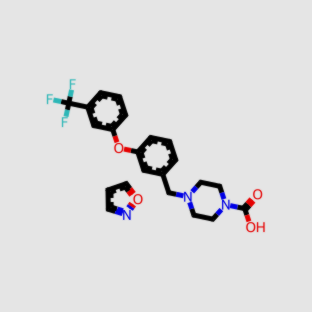 O=C(O)N1CCN(Cc2cccc(Oc3cccc(C(F)(F)F)c3)c2)CC1.c1cnoc1